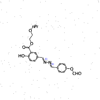 CCCOCCOC(=O)c1cc(/C=N/N=C/c2ccc(OC=O)cc2)ccc1O